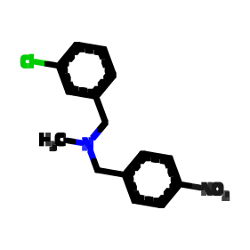 CN(Cc1ccc([N+](=O)[O-])cc1)Cc1cccc(Cl)c1